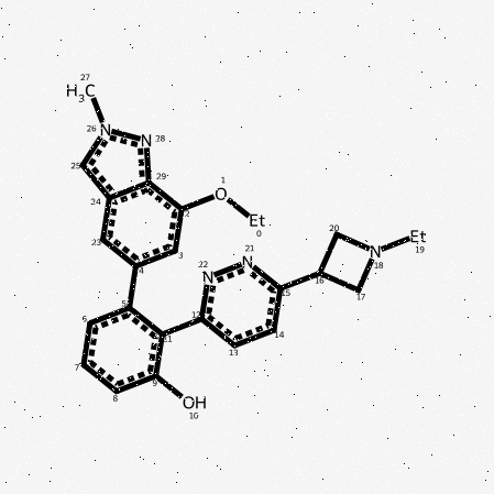 CCOc1cc(-c2cccc(O)c2-c2ccc(C3CN(CC)C3)nn2)cc2cn(C)nc12